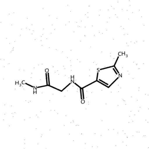 CNC(=O)CNC(=O)c1cnc(C)s1